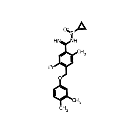 Cc1ccc(OCc2cc(C)c(C(=N)N[S+]([O-])C3CC3)cc2C(C)C)cc1C